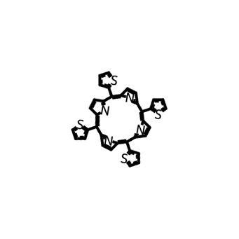 C1=CC2=C(c3cccs3)C3=NC(=C(c4cccs4)C4=NC(=C(c5cccs5)C5=NC(=C(c6cccs6)C1=N2)C=C5)C=C4)C=C3